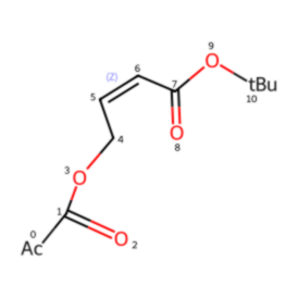 CC(=O)C(=O)OC/C=C\C(=O)OC(C)(C)C